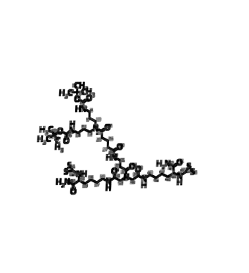 CC(C)(C)OC(=O)NCCCN(CCCNC(=O)OC(C)(C)C)C(=O)CCCC(=O)NCCC(=O)N(CC(=O)NCCCC[C@H](NC1SS1)C(N)=O)CC(=O)NCCCC[C@H](NC1SS1)C(N)=O